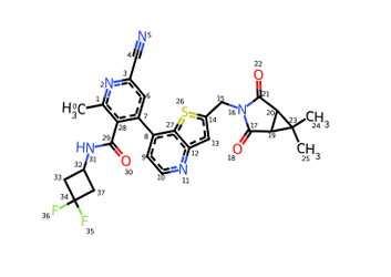 Cc1nc(C#N)cc(-c2ccnc3cc(CN4C(=O)C5C(C4=O)C5(C)C)sc23)c1C(=O)NC1CC(F)(F)C1